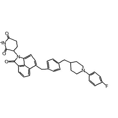 O=C1CCC(N2C(=O)c3cccc4c(Cc5ccc(CC6CCN(c7ccc(F)cc7)CC6)cc5)ccc2c34)C(=O)N1